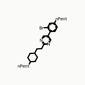 CCCCCc1ccc(-c2cnc(CCC3CCC(CCCCC)CC3)nc2)c(Br)c1